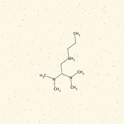 CCC[SiH2]CC(N(C)C)N(C)C